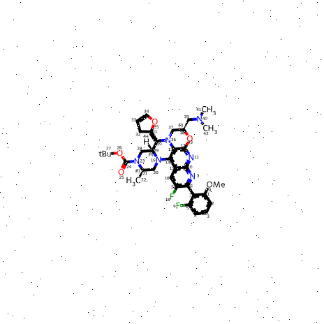 COc1cccc(F)c1-c1nc2nc3c4c(c2cc1F)N1C[C@@H](C)N(C(=O)OC(C)(C)C)C[C@@H]1C(=C1CC=CO1)N4C[C@@H](CN(C)C)O3